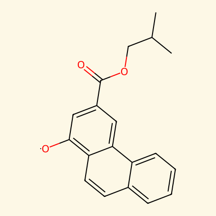 CC(C)COC(=O)c1cc([O])c2ccc3ccccc3c2c1